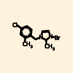 Cc1cc(Cl)ccc1CN1C=CN(Br)C1C